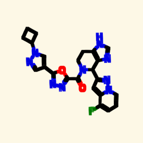 O=C(c1nnc(-c2cnn(C3CCC3)c2)o1)N1CCc2[nH]cnc2C1c1cc2c(F)cccn2n1